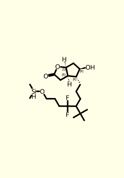 C[SiH](C)OCCCC(F)(F)C(CCC[C@@H]1[C@H]2CC(=O)O[C@H]2C[C@H]1O)C(C)(C)C